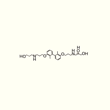 Cc1c(OCCCNCCCO)cccc1-c1cccc(OCCCNC[C@H](O)CO)c1C